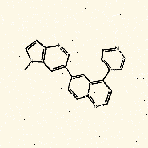 Cn1ccc2ncc(-c3ccc4nccc(-c5ccncc5)c4c3)cc21